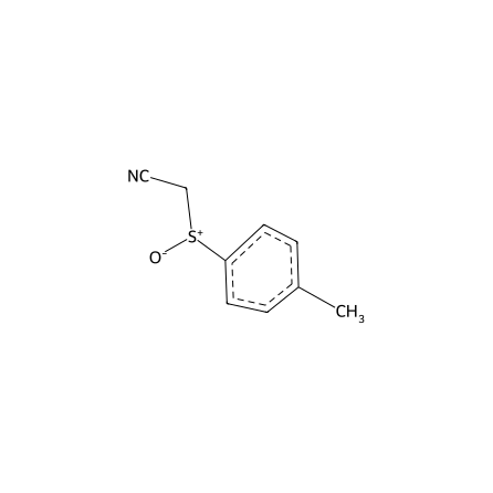 Cc1ccc([S+]([O-])CC#N)cc1